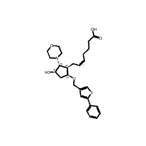 O=C(O)CCC/C=C\C[C@@H]1[C@@H](N2CCOCC2)[C@H](O)C[C@@H]1OCc1csc(-c2ccccc2)c1